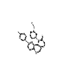 Cc1ccc(-c2ccc3ncc4ccc(=O)n(-c5cccc(CF)c5)c4c3n2)cn1